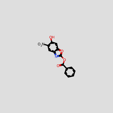 O=C(Oc1nc2cc([N+](=O)[O-])c(O)cc2o1)c1ccccc1